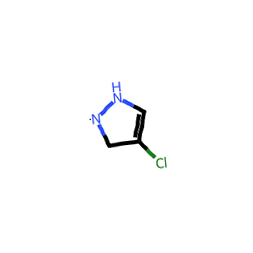 ClC1=CN[N]C1